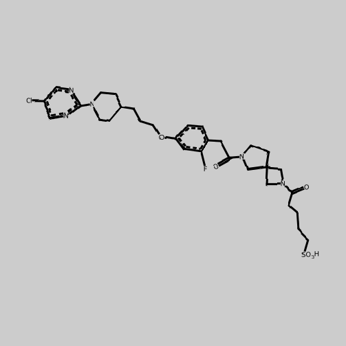 O=C(Cc1ccc(OCCCC2CCN(c3ncc(Cl)cn3)CC2)cc1F)N1CCC2(C1)CN(C(=O)CCCCS(=O)(=O)O)C2